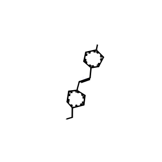 OCc1ccc(/C=C/c2ccc(F)cc2)cc1